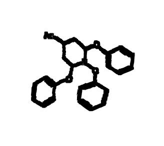 [CH2]C(=O)C1CC(Oc2ccccc2)N(Oc2ccccc2)C(Oc2ccccc2)C1